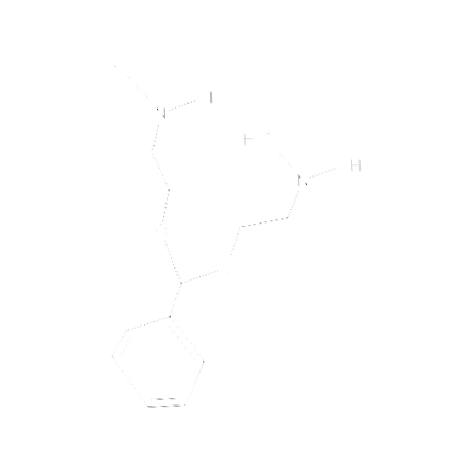 CN(C)CCOC(OCCN(C)C)c1ccccc1